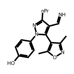 CCCc1nn(-c2ccc(O)cc2)c(-c2c(C)noc2C)c1C=N